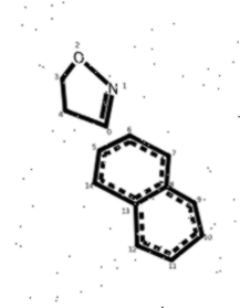 C1=NOCC1.c1ccc2ccccc2c1